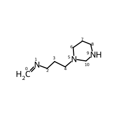 C=NCCCN1CCCNC1